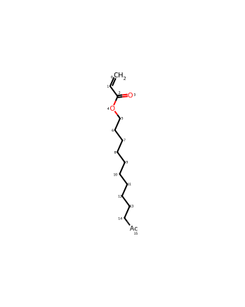 C=CC(=O)OCCCCCCCCCCC(C)=O